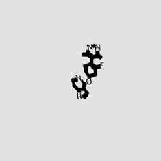 Cc1ncnc(C)c1-c1ccc(OC2=C3C=CN=C3CC=N2)cc1F